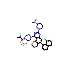 C=C(F)C(=O)N1CCN(c2nc(N3CCCC(N(C)C)C3)nc3cc(-c4cccc5cccc(Cl)c45)c4c(c23)OCCC4)C[C@@H]1CC#N